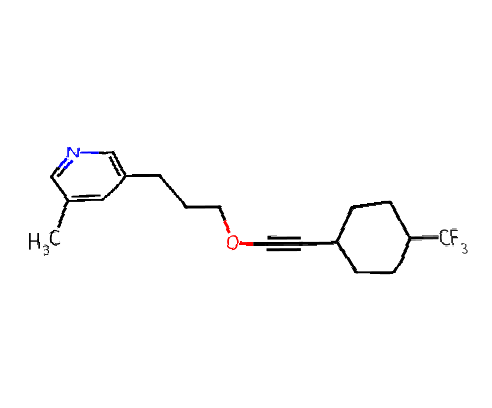 Cc1cncc(CCCOC#CC2CCC(C(F)(F)F)CC2)c1